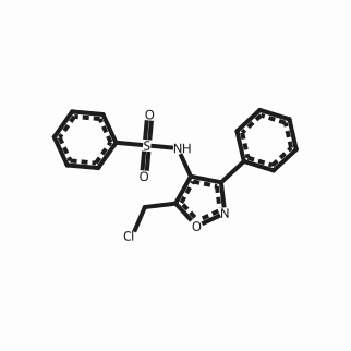 O=S(=O)(Nc1c(-c2ccccc2)noc1CCl)c1ccccc1